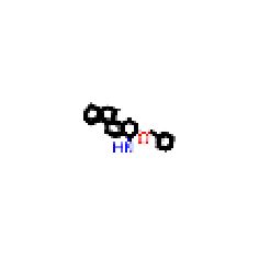 N=C1c2ccc3c(ccc4ccccc43)c2CCC1OCc1ccccc1